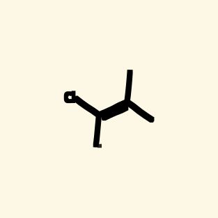 [CH2]C(Cl)=C(C)C